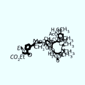 CCOC(=O)c1cn(CC)c2ccc(/C(C)=C/OCCO[C@H]3[C@H](C)O[C@@H](O[C@H]4[C@H](C)[C@@H](O[C@@H]5O[C@H](C)C[C@H](N(C)C)[C@H]5OC(C)=O)[C@](C)(O)C[C@@H](C)CN(C)[C@H](C)[C@H]5OC(=O)O[C@]5(C)[C@@H](CC)OC(=O)[C@@H]4C)C[C@@]3(C)OC)cc2c1=O